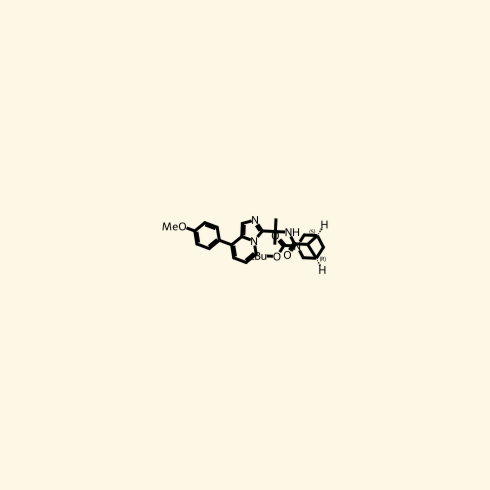 COc1ccc(-c2cccn3c(C(C)(C)NC(=O)C4[C@@H]5C[C@H]4CN(C(=O)OC(C)(C)C)C5)ncc23)cc1